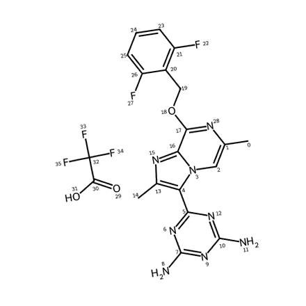 Cc1cn2c(-c3nc(N)nc(N)n3)c(C)nc2c(OCc2c(F)cccc2F)n1.O=C(O)C(F)(F)F